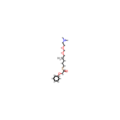 CN(C)CCOCOC[SiH2]CCCSC(=O)COc1ccccc1